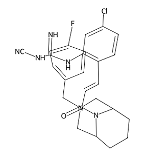 N#CNC(=N)Nc1cc(Cl)ccc1/C=C/C(=O)N1C2CCCC1CN(Cc1ccc(F)cc1)C2